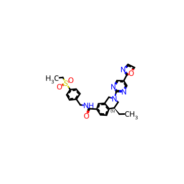 CC[C@@H]1CN(c2ncc(-c3ncco3)cn2)Cc2cc(C(=O)NCc3ccc(S(=O)(=O)CC)cc3)ccc21